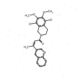 COc1c(Cl)c2c(c(Cl)c1OC)CN(C(=O)/C=C(/C)c1cnc3ccccc3c1)CC2